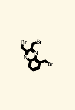 BrCc1nc2cccc(CBr)c2nc1CBr